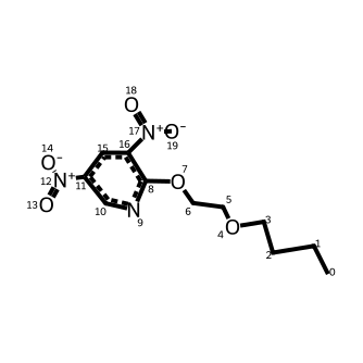 CCCCOCCOc1ncc([N+](=O)[O-])cc1[N+](=O)[O-]